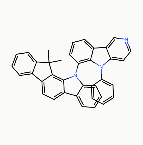 CC1(C)c2ccccc2-c2ccc3c4ccccc4n(-c4cccc5c6cnccc6n(-c6ccccc6)c45)c3c21